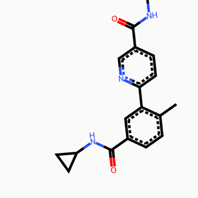 CNC(=O)c1ccc(-c2cc(C(=O)NC3CC3)ccc2C)nc1